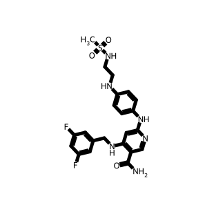 CS(=O)(=O)NCCNc1ccc(Nc2cc(NCc3cc(F)cc(F)c3)c(C(N)=O)cn2)cc1